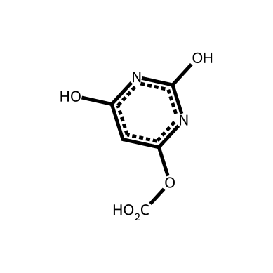 O=C(O)Oc1cc(O)nc(O)n1